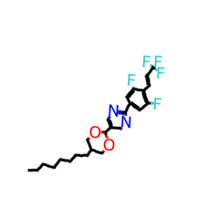 CCCCCCCCC1COC(c2cnc(-c3cc(F)c(/C=C/C(F)(F)F)c(F)c3)nc2)OC1